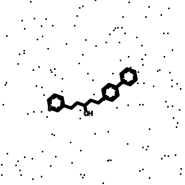 OC(CCc1ccc(-c2ccccc2)cc1)CCc1cccnc1